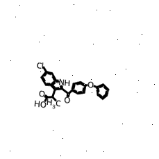 CC(C(=O)O)c1c(C(=O)c2ccc(Oc3ccccc3)cc2)[nH]c2cc(Cl)ccc12